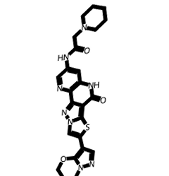 O=C(CN1CCCCC1)Nc1cnc2c(c1)[nH]c(=O)c1c2nn2cc(-c3cnn4c3OCCC4)sc12